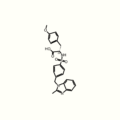 COc1ccc(C[C@H](NS(=O)(=O)c2ccc(Cn3c(C)nc4ccccc43)cc2)C(=O)O)cc1